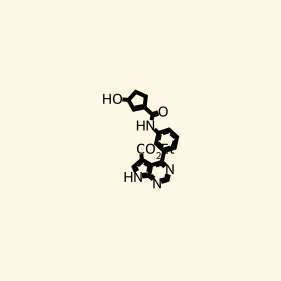 CCOC(=O)c1c[nH]c2ncnc(-c3cccc(NC(=O)C4=CC(O)CC4)c3)c12